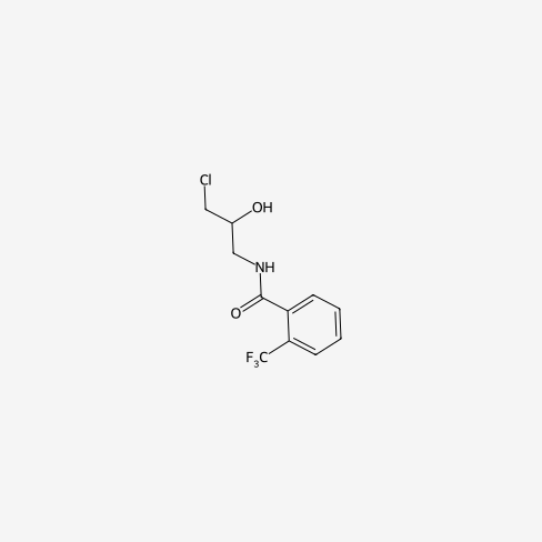 O=C(NCC(O)CCl)c1ccccc1C(F)(F)F